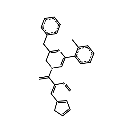 C=N/C(=C\C1=CC=CC1)C(=C)N1C=C(c2ccccc2C)N=C(Cc2ccccc2)C1